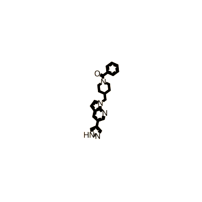 O=C(c1ccccc1)N1CCC(Cn2ccc3cc(-c4cn[nH]c4)cnc32)CC1